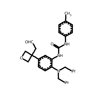 Cc1ccc(NC(=O)Nc2cc(C3(CC=O)COC3)ccc2N(CC(C)C)CC(C)C)cc1